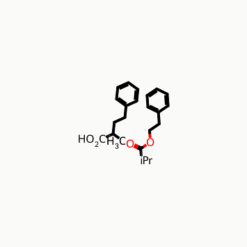 CC(C)C(=O)OCCc1ccccc1.CC(CCc1ccccc1)C(=O)O